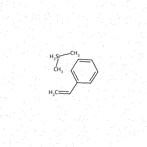 C=Cc1ccccc1.C[SiH2]C